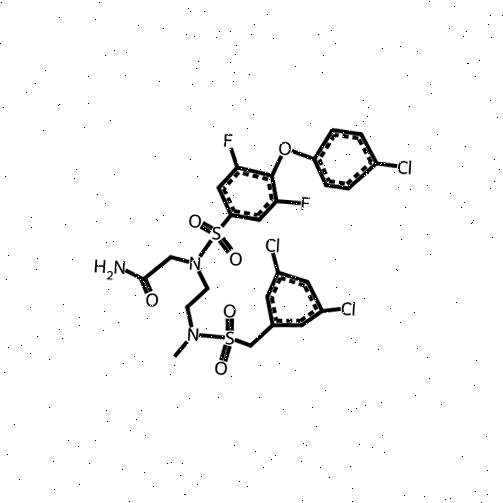 CN(CCN(CC(N)=O)S(=O)(=O)c1cc(F)c(Oc2ccc(Cl)cc2)c(F)c1)S(=O)(=O)Cc1cc(Cl)cc(Cl)c1